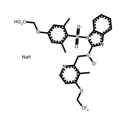 Cc1cc(OCC(=O)O)cc(C)c1S(=O)(=O)n1c([S+]([O-])Cc2nccc(OCC(F)(F)F)c2C)nc2ccccc21.[NaH]